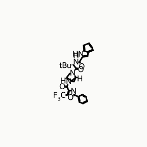 CC(C)(C)[C@H](NC(=O)c1cc2ccccc2[nH]1)C(=O)N1C[C@@H]2C[C@H]1CN2C(=O)c1nc(-c2ccccc2)oc1C(F)(F)F